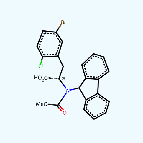 COC(=O)N(C1c2ccccc2-c2ccccc21)[C@@H](Cc1cc(Br)ccc1Cl)C(=O)O